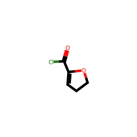 O=C(Cl)C1=CCCO1